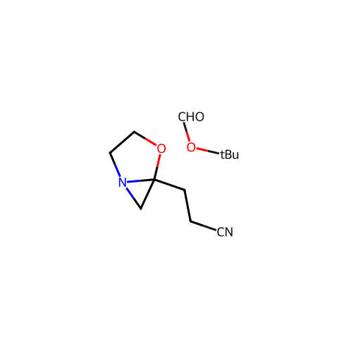 CC(C)(C)OC=O.N#CCCC12CN1CCO2